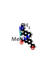 CNC(=O)c1cc2cc(C3CCOC3)ccc2c(N2CCCc3cc(-c4cnn(C)c4)c(C(F)F)cc32)n1